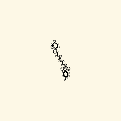 Cc1ccc(S(=O)(=O)OCCSSCCOC2CCCCO2)cc1